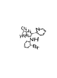 N#Cc1c[nH]n2c(Nc3ccccc3Br)c(-c3ccccn3)nc12